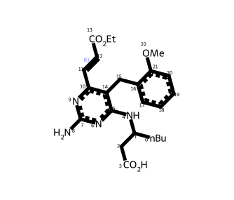 CCCCC(CC(=O)O)Nc1nc(N)nc(/C=C/C(=O)OCC)c1Cc1ccccc1OC